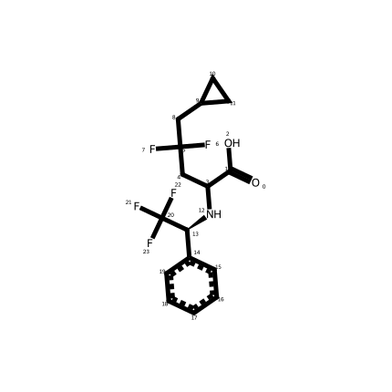 O=C(O)C(CC(F)(F)CC1CC1)N[C@@H](c1ccccc1)C(F)(F)F